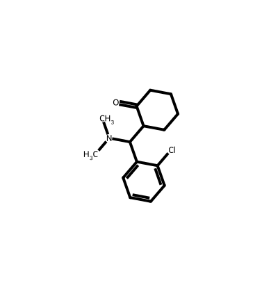 CN(C)C(c1ccccc1Cl)C1CCCCC1=O